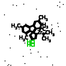 CC1=C[C](C)([Zr]([C]2=CC=CC2)=[C](C)C)C2=Cc3c(C)cc(C)cc3C2=C1.Cl.Cl